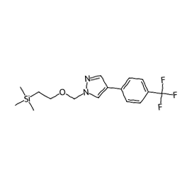 C[Si](C)(C)CCOCn1cc(-c2ccc(C(F)(F)F)cc2)cn1